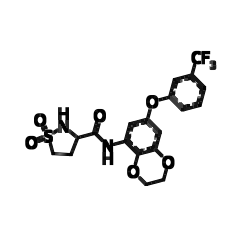 O=C(Nc1cc(Oc2cccc(C(F)(F)F)c2)cc2c1OCCO2)C1CCS(=O)(=O)N1